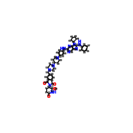 O=C1CCC(N2C(=O)c3ccc(CN4CCN(C5CCN(c6ccc(Nc7ncc8nc(Nc9ccccc9)n(C9CCCC9)c8n7)cc6)CC5)CC4)cc3C2=O)C(=O)N1